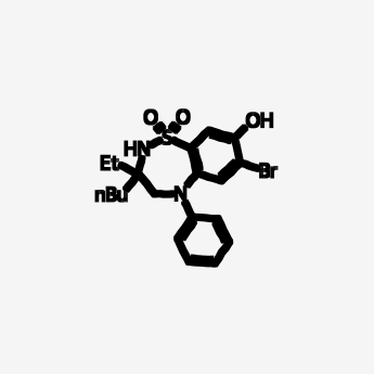 CCCCC1(CC)CN(c2ccccc2)c2cc(Br)c(O)cc2S(=O)(=O)N1